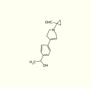 CC(O)c1ccc(C2=CCN(C3(C=O)CC3)CC2)cc1